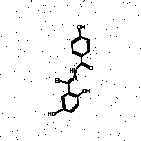 CC/C(=N\NC(=O)c1ccc(O)cc1)c1cc(O)ccc1O